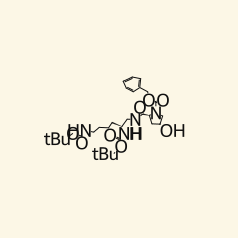 CC(C)(C)OC(=O)NCCCC[C@@H](CNC(=O)[C@@H]1C[C@@H](O)CN1C(=O)OCc1ccccc1)NC(=O)OC(C)(C)C